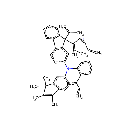 C=C/C=C\C(=C(C)C)C1(C(=C)C)c2ccccc2-c2ccc(N(c3ccc4c(c3)C(C)(C)C(C)=C4C)c3ccccc3C(=C)C=C)cc21